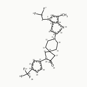 Cc1nn(CC(F)F)c2nc(N3CCC4(CC3)CC(=O)N(c3ccc(C(F)(F)F)nc3)C4)cnc12